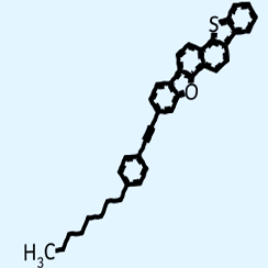 CCCCCCCCc1ccc(C#Cc2ccc3c(c2)oc2c3ccc3c2ccc2c4ccccc4sc23)cc1